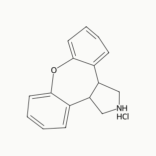 Cl.c1ccc2c(c1)Oc1ccccc1C1CNCC21